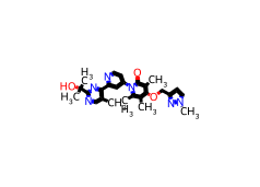 Cc1cnc(C(C)(C)O)nc1-c1cc(-n2c(C)c(C)c(OCc3ccn(C)n3)c(C)c2=O)ccn1